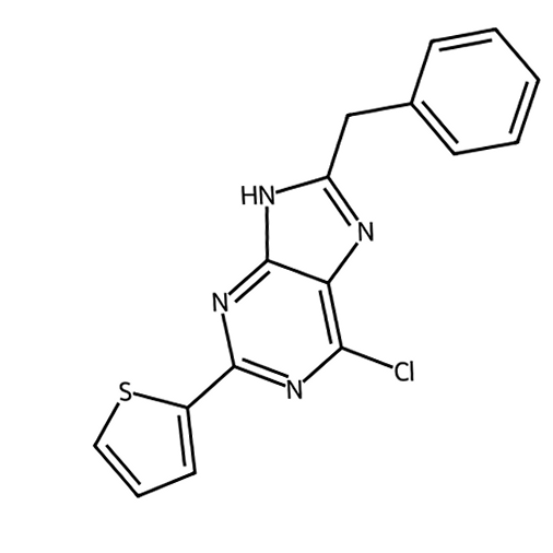 Clc1nc(-c2cccs2)nc2[nH]c(Cc3ccccc3)nc12